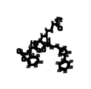 CCC(=O)CCCCC[C@H](NC(=O)Cn1c(=O)oc2ccccc21)C(=O)NCCN1CCC(c2ccccc2)C1